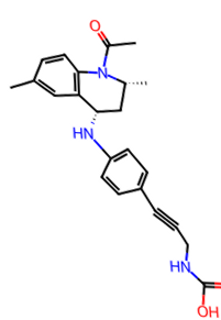 CC(=O)N1c2ccc(C)cc2[C@@H](Nc2ccc(C#CCNC(=O)O)cc2)C[C@H]1C